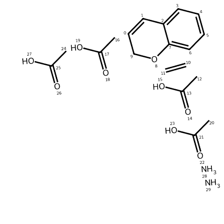 C1=Cc2ccccc2OC1.C=C.CC(=O)O.CC(=O)O.CC(=O)O.CC(=O)O.N.N